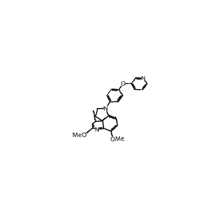 COC1=CC(C)C23CCN(c4ccc(Oc5cccnc5)cc4)C2=CC=C(OC)C3=N1